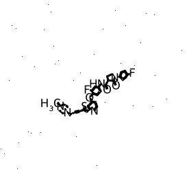 CN1CCN(CC#Cc2cc3nccc(Oc4ccc(NC(=O)C5CCN(c6ccc(F)cc6)C5=O)cc4F)c3s2)CC1